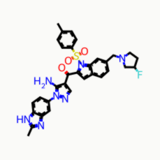 Cc1ccc(S(=O)(=O)n2c(C(=O)c3cnn(-c4ccc5[nH]c(C)nc5c4)c3N)cc3ccc(CN4CCC(F)C4)cc32)cc1